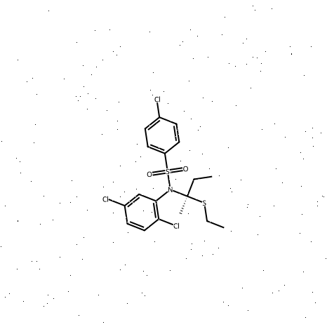 CCS[C@](C)(CC)N(c1cc(Cl)ccc1Cl)S(=O)(=O)c1ccc(Cl)cc1